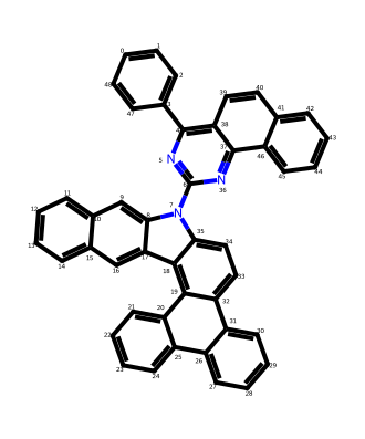 c1ccc(-c2nc(-n3c4cc5ccccc5cc4c4c5c6ccccc6c6ccccc6c5ccc43)nc3c2ccc2ccccc23)cc1